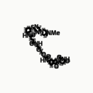 CNC1(C)CCN(c2cnc(Sc3cccc(NC(=O)CCC(=O)NCCOCCOCC(=O)Nc4ccc5c(c4)CN(C4CCC(=O)NC4=O)C5=O)c3)cn2)CC1